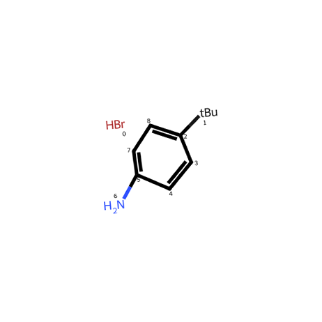 Br.CC(C)(C)c1ccc(N)cc1